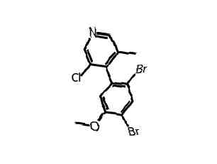 COc1cc(-c2c(C)cncc2Cl)c(Br)cc1Br